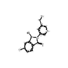 CCC1c2cc(Cl)ccc2C(=O)N1c1cncc(CCl)c1